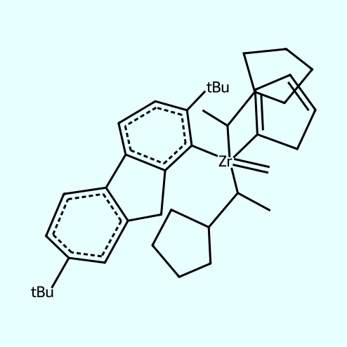 [CH2]=[Zr]([C]1=CC=CC1)([c]1c(C(C)(C)C)ccc2c1Cc1cc(C(C)(C)C)ccc1-2)([CH](C)C1CCCC1)[CH](C)C1CCCC1